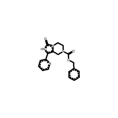 O=C(OCc1ccccc1)N1CCn2c(c(-c3ccccn3)[nH]c2=O)C1